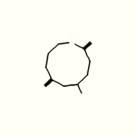 O=C1CCCNC(=O)CCC(C(=O)O)C1